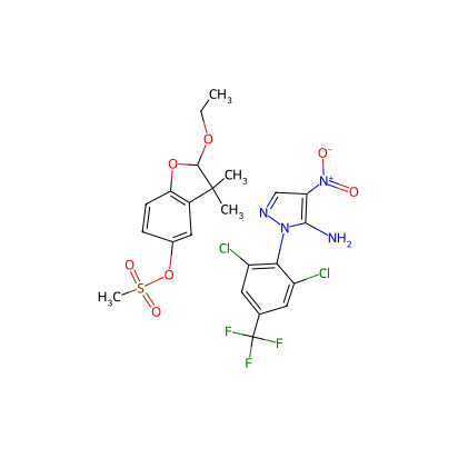 CCOC1Oc2ccc(OS(C)(=O)=O)cc2C1(C)C.Nc1c([N+](=O)[O-])cnn1-c1c(Cl)cc(C(F)(F)F)cc1Cl